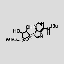 COC[C@H]1O[C@@H](n2cnc3c(NC(C)(C)C)ncnc32)C(O)C1O